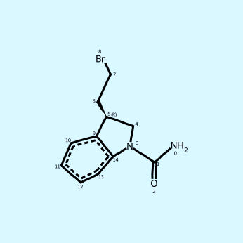 NC(=O)N1C[C@H](CCBr)c2ccccc21